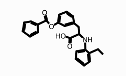 CCc1ccccc1NC(Cc1cccc(OC(=O)c2ccccc2)c1)C(=O)O